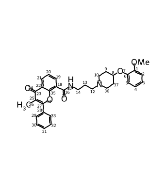 COc1ccccc1OC1CCN(CCCNC(=O)c2cccc3c(=O)c(C)c(-c4ccccc4)oc23)CC1